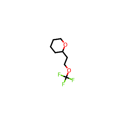 FC(F)(F)OCCC1CCCCO1